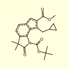 COC(=O)c1cc2ccc3c(c2n1CC1CC1)N(C(=O)OC(C)(C)C)C(=O)C3(C)C